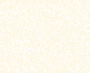 COc1ccc(C2(C#N)CCN(C(C)(C)C(=O)OCc3ccccc3)CC2)cc1OC1CCCC1